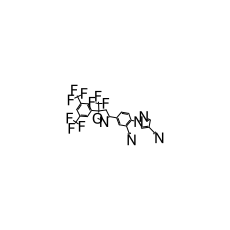 N#Cc1cnn(-c2ccc(C3=NOC(c4cc(C(F)(F)F)cc(C(F)(F)F)c4)(C(F)(F)F)C3)cc2C#N)c1